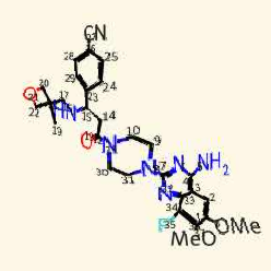 COc1cc2c(N)nc(N3CCN(C(=O)C[C@@H](NCC4(C)COC4)c4ccc(C#N)cc4)CC3)nc2c(F)c1OC